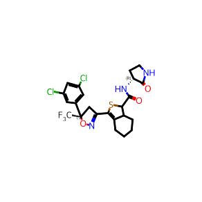 O=C(N[C@@H]1CCNC1=O)C1SC(C2=NO[C@@](c3cc(Cl)cc(Cl)c3)(C(F)(F)F)C2)=C2CCCCC21